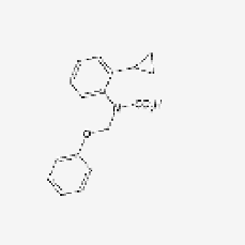 O=C(O)N(COc1ccccc1)c1ccccc1C1CC1